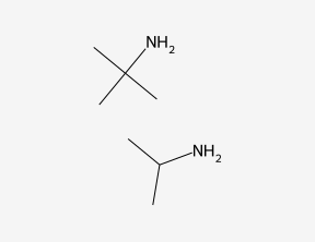 CC(C)(C)N.CC(C)N